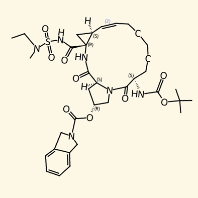 CCN(C)S(=O)(=O)NC(=O)[C@@]12C[C@H]1/C=C\CCCCC[C@H](NC(=O)OC(C)(C)C)C(=O)N1C[C@H](OC(=O)N3Cc4ccccc4C3)C[C@H]1C(=O)N2